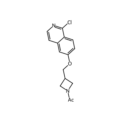 CC(=O)N1CC(COc2ccc3c(Cl)nccc3c2)C1